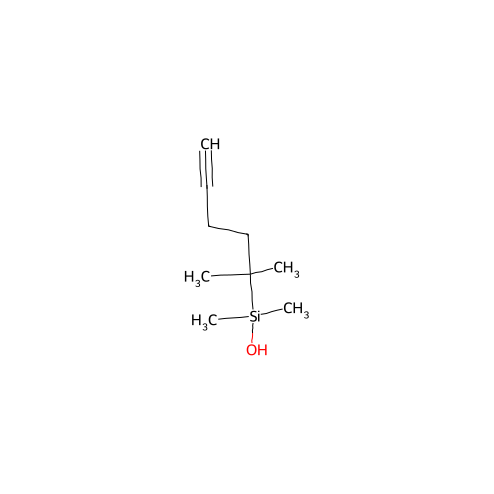 C#CCCC(C)(C)[Si](C)(C)O